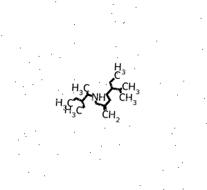 C=C(CCC(CC)C(C)C)CNC(C)C(CC)CC